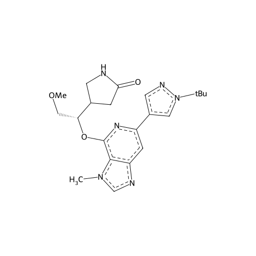 COC[C@@H](Oc1nc(-c2cnn(C(C)(C)C)c2)cc2ncn(C)c12)C1CNC(=O)C1